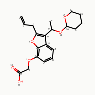 C=CCc1oc2c(OCC(=O)O)cccc2c1C(C)OC1CCCCO1